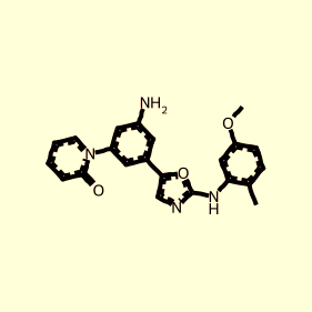 COc1ccc(C)c(Nc2ncc(-c3cc(N)cc(-n4ccccc4=O)c3)o2)c1